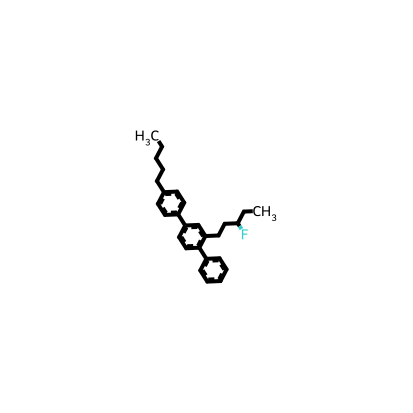 CCCCCc1ccc(-c2ccc(-c3ccccc3)c(CCC(F)CC)c2)cc1